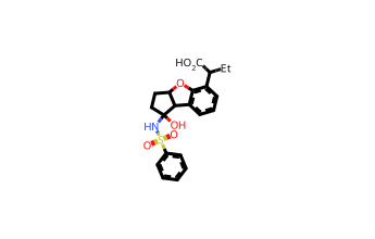 CCC(C(=O)O)c1cccc2c1OC1CCC(O)(NS(=O)(=O)c3ccccc3)C21